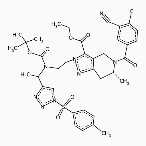 CCOC(=O)c1c2c(nn1CCN(C(=O)OC(C)(C)C)C(C)c1cn(S(=O)(=O)c3ccc(C)cc3)nn1)C[C@@H](C)N(C(=O)c1ccc(Cl)c(C#N)c1)C2